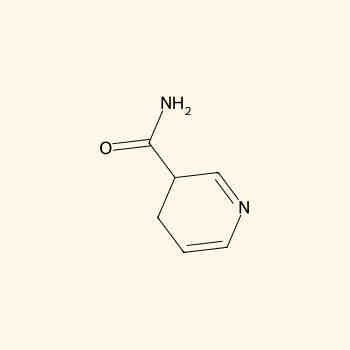 NC(=O)C1C=NC=CC1